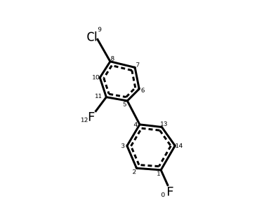 Fc1ccc(-c2ccc(Cl)cc2F)cc1